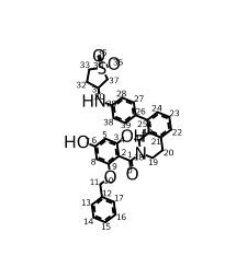 O=C(c1c(O)cc(O)cc1OCc1ccccc1)N1CCc2cccc(-c3ccc(NC4CCS(=O)(=O)C4)cc3)c2C1